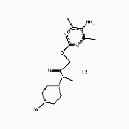 CC(=O)N1CCC(N(C)C(=O)COc2nc(C)c(N)c(C)n2)CC1.Cl